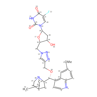 COc1ccc2nccc([C@@H](OCc3cn(CC4OC(n5cc(F)c(=O)[nH]c5=O)CC4O)nn3)C3CC4CCN3CC4C)c2c1